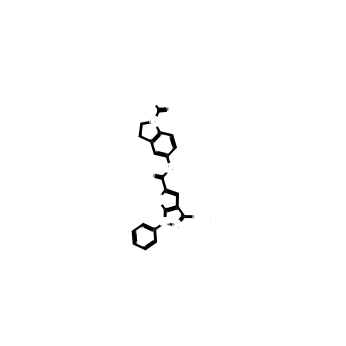 Cc1nn(-c2ccccc2)c2sc(C(=O)Nc3ccc4c(c3)CCN4C(=O)O)cc12